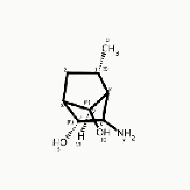 C[C@H]1CC2[C@@H](O)C(N)C1[C@H]2O